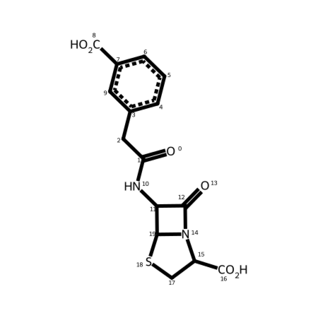 O=C(Cc1cccc(C(=O)O)c1)NC1C(=O)N2C(C(=O)O)CSC12